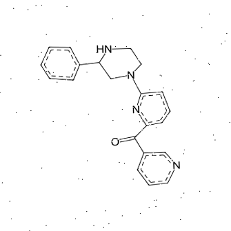 O=C(c1cccnc1)c1cccc(N2CCNC(c3ccccc3)C2)n1